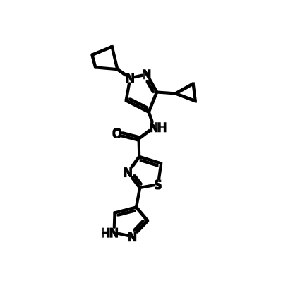 O=C(Nc1cn(C2CCC2)nc1C1CC1)c1csc(-c2cn[nH]c2)n1